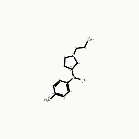 COCCN1CC[C@H](N(C)c2ccc(N)cc2)C1